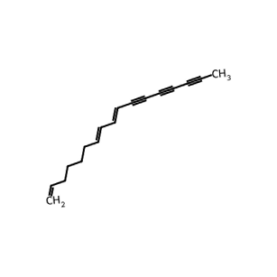 C=CCCCCC=CC=CC#CC#CC#CC